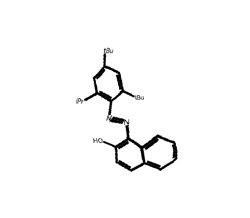 CC(C)c1cc(C(C)(C)C)cc(C(C)(C)C)c1/N=N/c1c(O)ccc2ccccc12